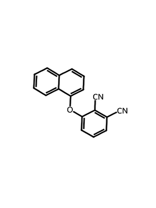 N#Cc1cccc(Oc2cccc3ccccc23)c1C#N